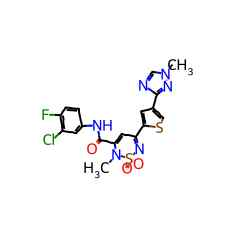 CN1C(C(=O)Nc2ccc(F)c(Cl)c2)=CC(c2cc(-c3ncn(C)n3)cs2)=NS1(=O)=O